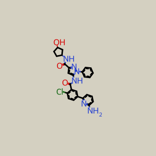 Nc1cccc(-c2ccc(Cl)c(C(=O)Nc3cc(C(=O)N[C@H]4CC[C@@H](O)C4)nn3-c3ccccc3)c2)n1